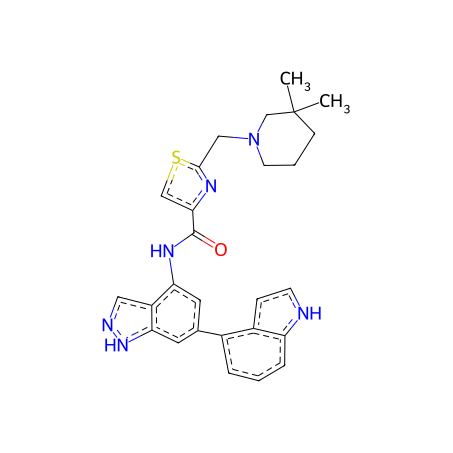 CC1(C)CCCN(Cc2nc(C(=O)Nc3cc(-c4cccc5[nH]ccc45)cc4[nH]ncc34)cs2)C1